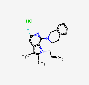 C=CCn1c(C)c(C)c2cc(F)nc(N3CCc4ccccc4C3)c21.Cl